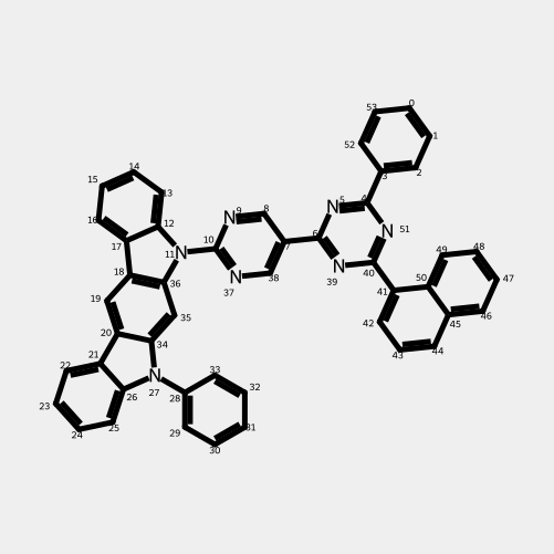 c1ccc(-c2nc(-c3cnc(-n4c5ccccc5c5cc6c7ccccc7n(-c7ccccc7)c6cc54)nc3)nc(-c3cccc4ccccc34)n2)cc1